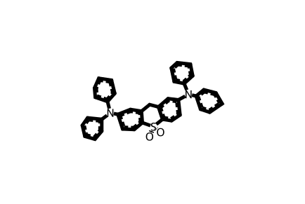 O=S1(=O)c2ccc(N(c3ccccc3)c3ccccc3)cc2Cc2cc(N(c3ccccc3)c3ccccc3)ccc21